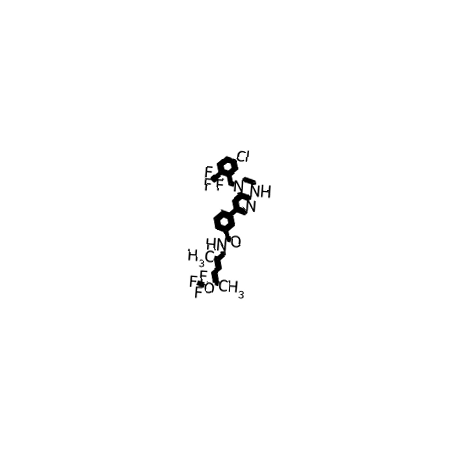 C/C(=C\C=C(/C)OC(F)(F)F)CNC(=O)c1cccc(-c2cnc3c(c2)N(Cc2cc(Cl)ccc2C(F)(F)F)CCN3)c1